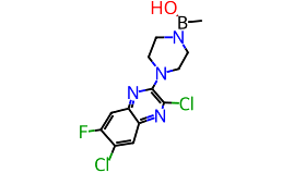 CB(O)N1CCN(c2nc3cc(F)c(Cl)cc3nc2Cl)CC1